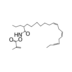 C=C(C)C(=O)ONC(=O)C(CCC)CCCCCC/C=C\C/C=C\C/C=C\CC